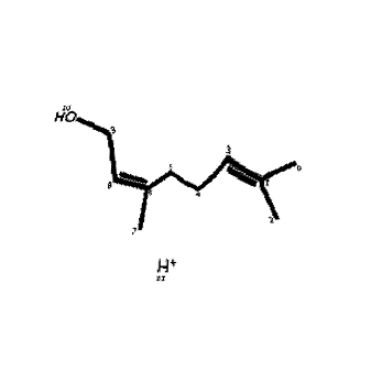 CC(C)=CCC/C(C)=C\CO.[H+]